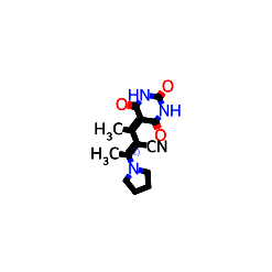 CC(=C1C(=O)NC(=O)NC1=O)/C(C#N)=C(\C)N1CCCC1